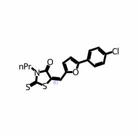 CCCN1C(=O)/C(=C\c2ccc(-c3ccc(Cl)cc3)o2)SC1=S